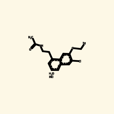 Cl.O.[2H]COc1cc2c(CCNC(C)=O)cccc2cc1Cl